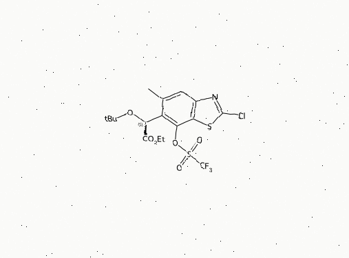 CCOC(=O)[C@@H](OC(C)(C)C)c1c(C)cc2nc(Cl)sc2c1OS(=O)(=O)C(F)(F)F